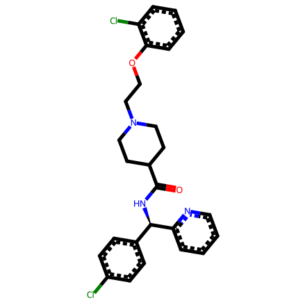 O=C(N[C@H](c1ccc(Cl)cc1)c1ccccn1)C1CCN(CCOc2ccccc2Cl)CC1